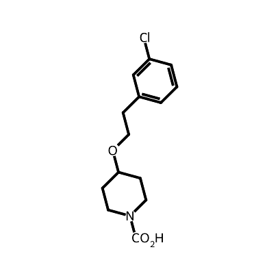 O=C(O)N1CCC(OCCc2cccc(Cl)c2)CC1